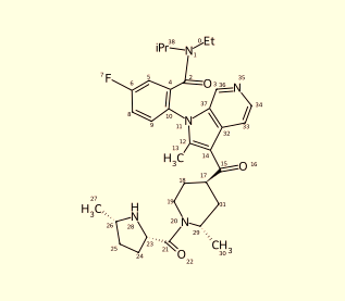 CCN(C(=O)c1cc(F)ccc1-n1c(C)c(C(=O)[C@@H]2CCN(C(=O)[C@@H]3CC[C@H](C)N3)[C@@H](C)C2)c2ccncc21)C(C)C